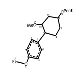 CCCCCC1CCC(c2ccc(OCC)cc2)C(OC)C1